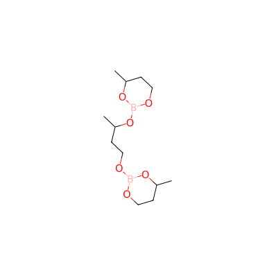 CC1CCOB(OCCC(C)OB2OCCC(C)O2)O1